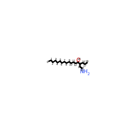 CCCCCCCCCCCCCC(=O)C(CCC)CCN